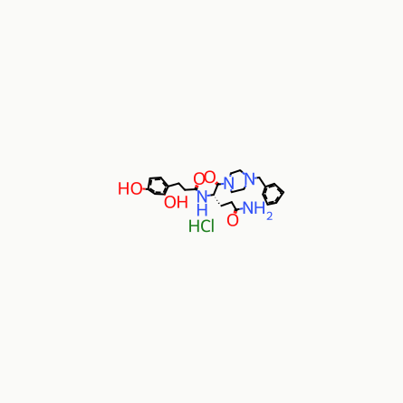 Cl.NC(=O)CC[C@H](NC(=O)CCc1ccc(O)cc1O)C(=O)N1CCN(Cc2ccccc2)CC1